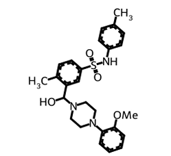 COc1ccccc1N1CCN(C(O)c2cc(S(=O)(=O)Nc3ccc(C)cc3)ccc2C)CC1